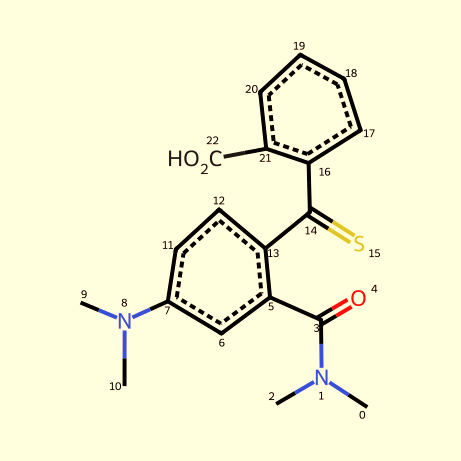 CN(C)C(=O)c1cc(N(C)C)ccc1C(=S)c1ccccc1C(=O)O